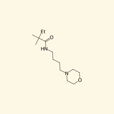 CCC(C)(C)C(=O)NCCCCN1CCOCC1